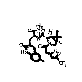 Cc1ccc2[nH]c(=O)c(C[C@H](NC(=O)[C@@H]3[C@@H]4[C@H](CN3C(=O)Cc3cc(C(F)(F)F)no3)C4(C)C)C(N)=O)cc2c1